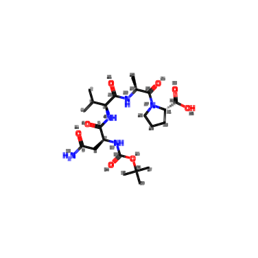 CC(C)[C@H](NC(=O)[C@H](CC(N)=O)NC(=O)OC(C)(C)C)C(=O)N[C@@H](C)C(=O)N1CCC[C@H]1C(=O)O